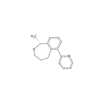 C[C@H]1OCCCc2c(-c3ccccn3)cccc21